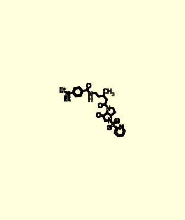 CCN(CC)c1ccc(C(=O)NCCC(C)CC(=O)N2CCC3C2C(=O)CN3S(=O)(=O)c2ccccn2)cc1